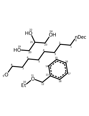 CCCCCCCCCCCCCCCCCC[O].CCOCc1ccccc1.OCC(O)CO